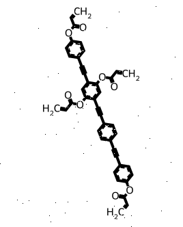 C=CC(=O)Oc1ccc(C#Cc2ccc(C#Cc3cc(OC(=O)C=C)c(C#Cc4ccc(OC(=O)C=C)cc4)cc3OC(=O)C=C)cc2)cc1